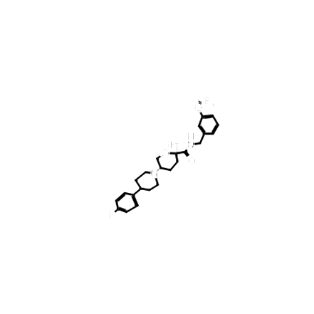 CC(C)[C@]1(C(=O)NCc2cccc(OC(F)(F)F)c2)CC[C@@H](N2CCC(c3ccc(F)cc3)CC2)CO1